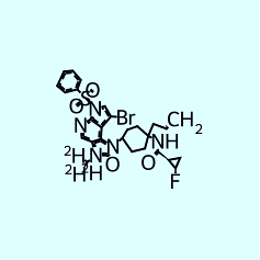 [2H]C([2H])([2H])n1c(=O)n(C2CCC(CC=C)(NC(=O)[C@H]3C[C@H]3F)CC2)c2c3c(Br)cn(S(=O)(=O)c4ccccc4)c3ncc21